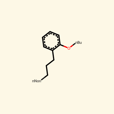 CCCCCCCCCCCCc1ccccc1OCCCC